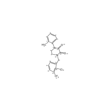 Cc1ccccc1N1CCN(Cc2cccc(C(F)(F)F)c2Cl)C(=O)C1=O